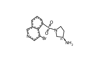 N[C@@H]1CCN(S(=O)(=O)c2cccc3cncc(Br)c23)C1